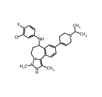 CC1=C2c3ccc(C4=CCN(C(C)C)CC4)cc3C(Nc3ccc(F)c(Cl)c3)CCN2N(C)N1